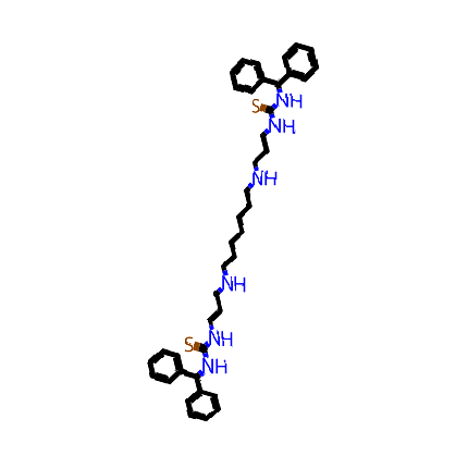 S=C(NCCCNCCCCCCCNCCCNC(=S)NC(c1ccccc1)c1ccccc1)NC(c1ccccc1)c1ccccc1